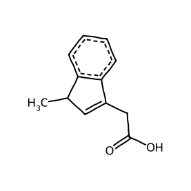 CC1C=C(CC(=O)O)c2ccccc21